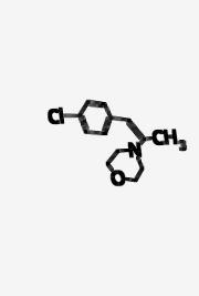 CC(=Cc1ccc(Cl)cc1)N1CCOCC1